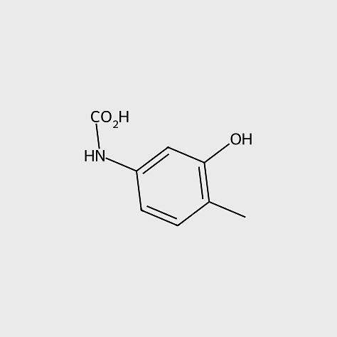 Cc1ccc(NC(=O)O)cc1O